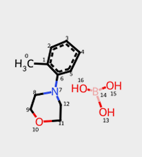 Cc1ccccc1N1CCOCC1.OB(O)O